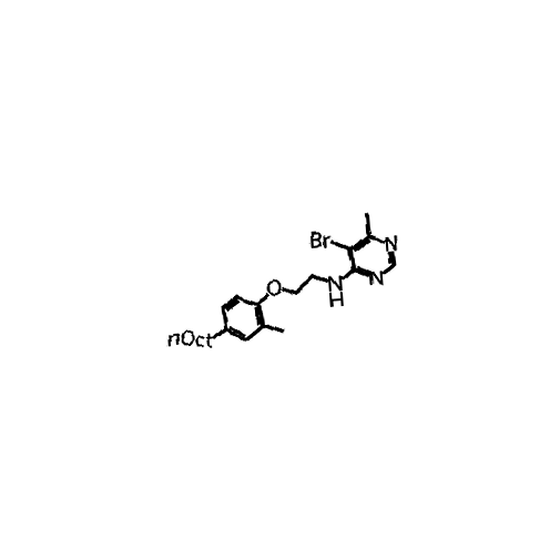 CCCCCCCCc1ccc(OCCNc2ncnc(C)c2Br)c(C)c1